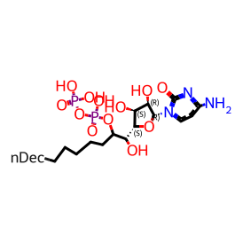 CCCCCCCCCCCCCCCC(OP(=O)(O)OP(=O)(O)O)C(O)[C@H]1O[C@@H](n2ccc(N)nc2=O)[C@H](O)[C@@H]1O